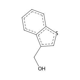 OCc1csc2ccccc12